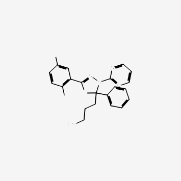 NCCCC1(c2ccccc2)SC(c2cc(F)ccc2F)=NN1c1ncccn1